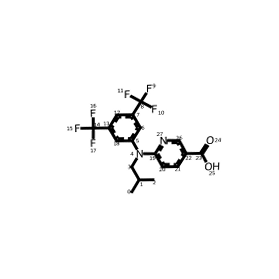 CC(C)CN(c1cc(C(F)(F)F)cc(C(F)(F)F)c1)c1ccc(C(=O)O)cn1